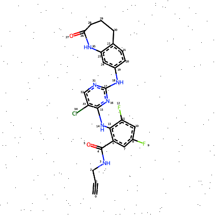 C#CCNC(=O)c1cc(F)cc(F)c1Nc1nc(Nc2ccc3c(c2)NC(=O)CCC3)ncc1Cl